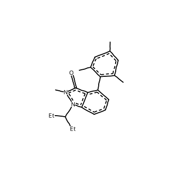 CCC(CC)n1c2cccc(-c3c(C)cc(C)cc3C)c2c(=O)n1C